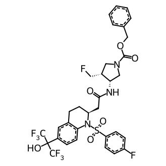 O=C(C[C@@H]1CCc2cc(C(O)(C(F)(F)F)C(F)(F)F)ccc2N1S(=O)(=O)c1ccc(F)cc1)N[C@H]1CN(C(=O)OCc2ccccc2)C[C@H]1CF